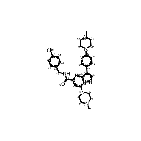 CN1CCN(c2cc(C(=O)NCc3ccc(Cl)cc3)nc3c(-c4ccc(N5CCNCC5)nc4)cnn23)CC1